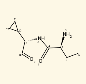 CC[C@H](N)C(=O)N[C@H]([C]=O)C1CC1